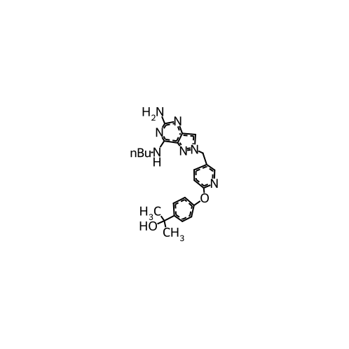 CCCCNc1nc(N)nc2cn(Cc3ccc(Oc4ccc(C(C)(C)O)cc4)nc3)nc12